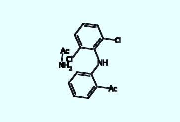 CC(=O)c1ccccc1Nc1c(Cl)cccc1Cl.CC(N)=O